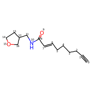 C#CCCCC/C=C/C(=O)NCC1CCOC1